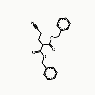 N#CCCC(C(=O)OCc1ccccc1)C(=O)OCc1ccccc1